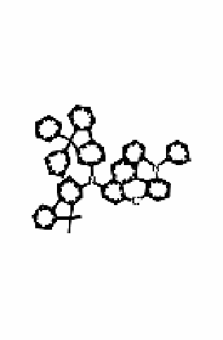 CC1(C)c2ccccc2-c2ccc(N(c3ccc4c(c3)C(c3ccccc3)(c3ccccc3)c3ccccc3-4)c3ccc4c5c(cccc35)-c3c(cccc3N(c3ccccc3)c3ccccc3)O4)cc21